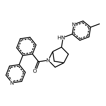 Cc1ccc(NC2CC3CC2N(C(=O)c2ccccc2-c2ccncc2)C3)nc1